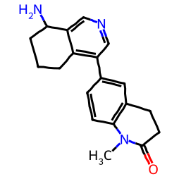 CN1C(=O)CCc2cc(-c3cncc4c3CCCC4N)ccc21